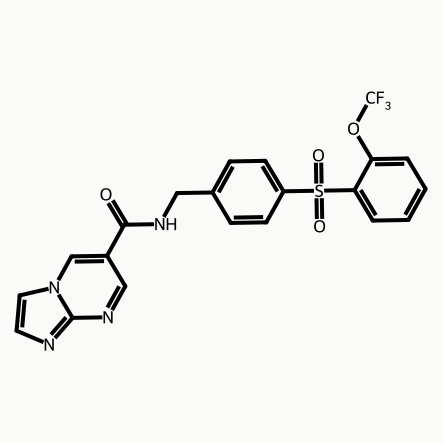 O=C(NCc1ccc(S(=O)(=O)c2ccccc2OC(F)(F)F)cc1)c1cnc2nccn2c1